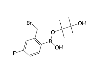 CC(C)(O)C(C)(C)OB(O)c1ccc(F)cc1CBr